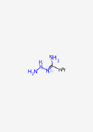 CCC/C(N)=N/NN